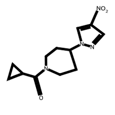 O=C(C1CC1)N1CCC(n2cc([N+](=O)[O-])cn2)CC1